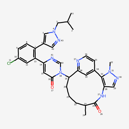 CC(C)Cn1cc(-c2ccc(Cl)cc2-c2cc(=O)n(C3CCCC(C)C(=O)Nc4cnn(C)c4-c4ccnc3c4)cn2)cn1